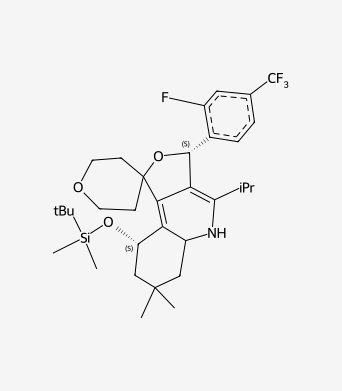 CC(C)C1=C2C(=C3C(CC(C)(C)C[C@@H]3O[Si](C)(C)C(C)(C)C)N1)C1(CCOCC1)O[C@@H]2c1ccc(C(F)(F)F)cc1F